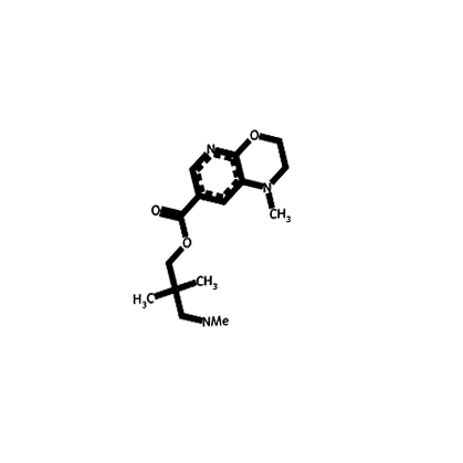 CNCC(C)(C)COC(=O)c1cnc2c(c1)N(C)CCO2